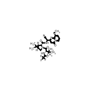 COc1cccn2c(=O)cc(C(C#N)NC(=O)[C@@H]3[C@@H]4[C@H](CN3C(=O)[C@@H](NC(=O)C(F)(F)F)C(C)(C)C)C4(C)C)nc12